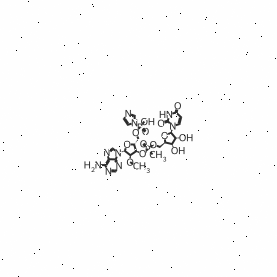 CO[C@@H]1[C@H](OP(C)(=O)OC[C@H]2O[C@@H](n3ccc(=O)[nH]c3=O)[C@H](O)[C@@H]2O)[C@@H](COP(=O)(O)n2ccnc2)O[C@H]1n1cnc2c(N)ncnc21